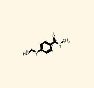 COC(=O)c1ccc(OCO)cc1